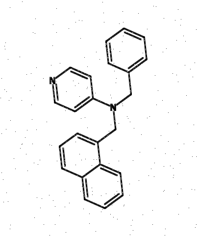 c1ccc(CN(Cc2cccc3ccccc23)c2ccncc2)cc1